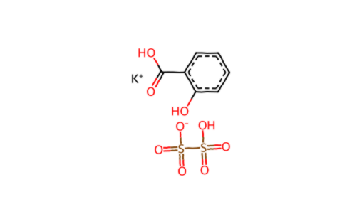 O=C(O)c1ccccc1O.O=S(=O)([O-])S(=O)(=O)O.[K+]